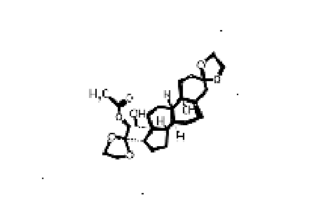 CC(=O)OCC1([C@H]2CC[C@H]3[C@@H]4CC=C5CC6(CC[C@]5(C)[C@H]4CC[C@]23CO)OCCO6)OCCO1